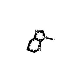 [CH2]n1cnc2cccnc21